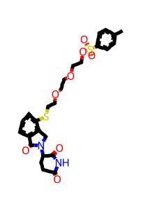 Cc1ccc(S(=O)(=O)OCCOCCOCCSc2cccc3c2CN(C2CCC(=O)NC2=O)C3=O)cc1